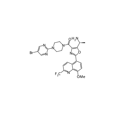 COc1ccc(-c2nc(C(=O)N3CCN(c4ncc(Br)cn4)CC3)c([C@H](C)N)o2)c2ccc(C(F)(F)F)nc12